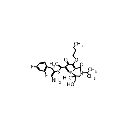 C=C(S/C(=C\N)Cc1ccc(F)cc1F)c1cn2c(c(OCCCC)c1=O)C(=O)N(C(C)C)CC2(C)CO